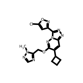 Cn1ncnc1COc1nn2c(-c3cc(Cl)on3)nnc2cc1C1CCC1